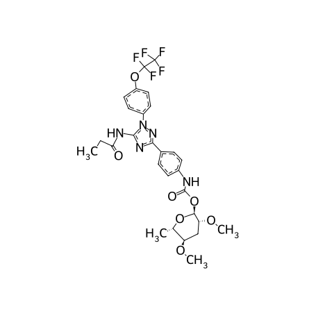 CCC(=O)Nc1nc(-c2ccc(NC(=O)O[C@@H]3O[C@@H](C)[C@H](OC)C[C@H]3OC)cc2)nn1-c1ccc(OC(F)(F)C(F)(F)F)cc1